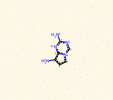 Nc1ncn2ccc(N)c2n1